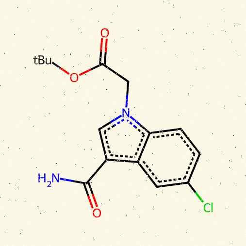 CC(C)(C)OC(=O)Cn1cc(C(N)=O)c2cc(Cl)ccc21